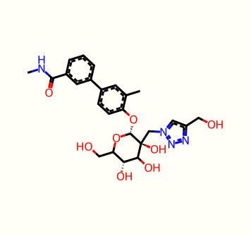 CNC(=O)c1cccc(-c2ccc(O[C@H]3OC(CO)[C@@H](O)C(O)[C@@]3(O)Cn3cc(CO)nn3)c(C)c2)c1